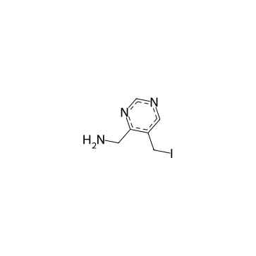 NCc1ncncc1CI